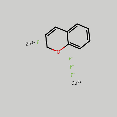 C1=Cc2ccccc2OC1.[Cu+2].[F-].[F-].[F-].[F-].[Zn+2]